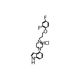 Cl.Fc1ccc(OCCCN2CCN(c3cccc4[nH]ccc34)CC2)c(F)c1